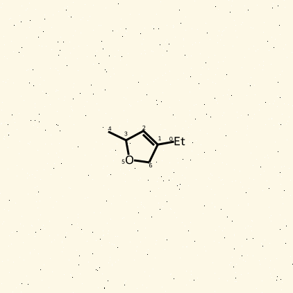 CCC1=CC(C)OC1